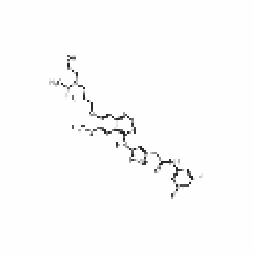 COc1cc2c(Nc3cc(CC(=O)Nc4cc(F)cc(F)c4)[nH]n3)ncnc2cc1OCCCN(CCO)C(C)C